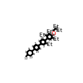 CCc1cc(-c2ccc(C3CCC(C)CC3)cc2)ccc1-c1cc(CC)c(OCC(CC)CC)c(CC)c1CC